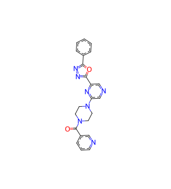 O=C(c1cccnc1)N1CCN(c2cncc(-c3nnc(-c4ccccc4)o3)n2)CC1